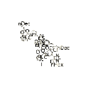 CCCCCCCCCCCC(Cl)(Cc1ccccc1)C(=O)[O-].CCCCCCCCCCCCC(=O)OC(c1ccccc1)[N+]1(C)CCC=C(c2nsnc2OCCCCCC)C1.CCCCCCCCCCCCC(=O)OC(c1ccccc1)[N+]1(C)CCC=C(c2nsnc2OCCCCCC)C1.[I-]